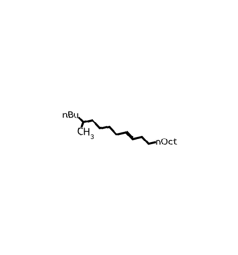 [CH2]CCCCCCCCCC=CCCCCC(C)CCC[CH2]